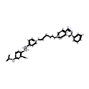 Cc1cc(NC(C)C)ccc1/N=N/c1cc[n+](CCCCCC[n+]2ccc(/C=N\N(C)c3ccccc3)cc2)cc1